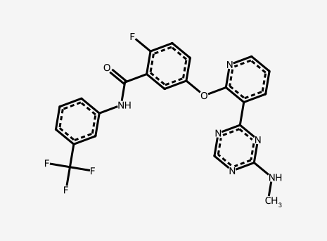 CNc1ncnc(-c2cccnc2Oc2ccc(F)c(C(=O)Nc3cccc(C(F)(F)F)c3)c2)n1